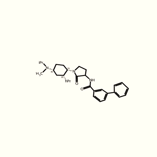 CCC[C@@H]1C[C@H](N(C)C(C)C)CC[C@@H]1N1CCC(NC(=O)c2cccc(-c3ccccc3)c2)C1=O